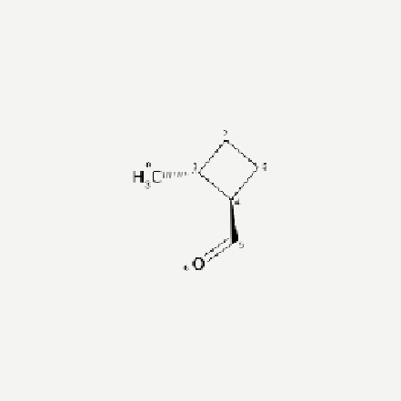 C[C@@H]1CC[C@H]1C=O